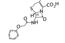 COCC1=C(C(=O)O)N2C(=O)C(NC(=O)COc3ccccc3)[C@@H]2SC1